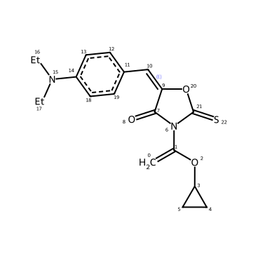 C=C(OC1CC1)N1C(=O)/C(=C\c2ccc(N(CC)CC)cc2)OC1=S